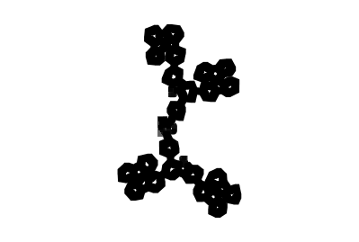 c1ccc2c(c1)-c1ccccc1C21c2ccccc2-c2ccc(-c3ccc4sc5c(-c6ccc(-c7nnc(-c8ccc(-c9cc(-c%10ccc%11c(c%10)C%10(c%12ccccc%12-c%12ccccc%12%10)c%10ccccc%10-%11)cc%10c9sc9ccc(-c%11ccc%12c(c%11)C%11(c%13ccccc%13-c%13ccccc%13%11)c%11ccccc%11-%12)cc9%10)cc8)o7)cc6)cc(-c6ccc7c(c6)C6(c8ccccc8-c8ccccc86)c6ccccc6-7)cc5c4c3)cc21